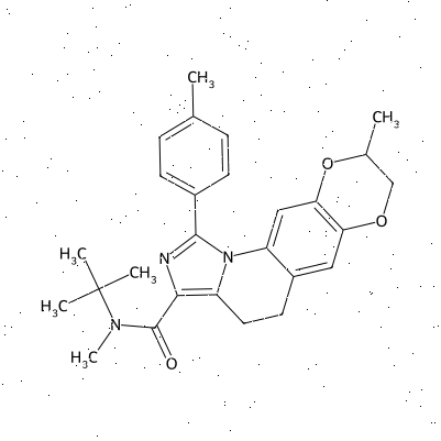 Cc1ccc(-c2nc(C(=O)N(C)C(C)(C)C)c3n2-c2cc4c(cc2CC3)OCC(C)O4)cc1